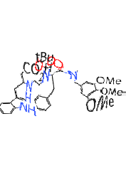 COc1cc(CN(C)C(=O)C(Cc2ccccc2)N(CCNC(CC(=O)O)Cc2c[nH]c3ccccc23)C(=O)OC(C)(C)C)cc(OC)c1OC